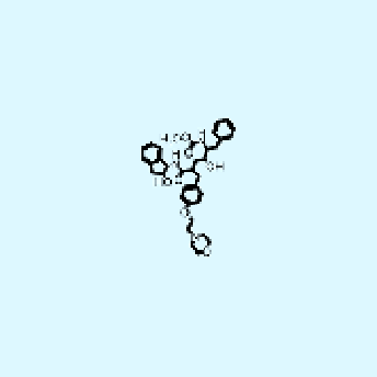 COC(=O)NC(Cc1ccccc1)C(O)CC(Cc1ccc(OCCN2CCOCC2)cc1)C(=O)N[C@H]1c2ccccc2C[C@@H]1O